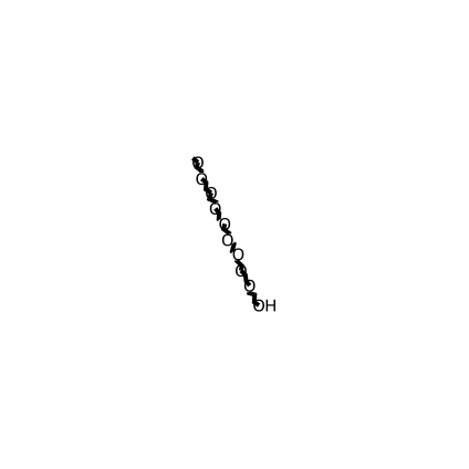 COCCOCCOCCOCCOCCOCCOCCOCCOCCCO